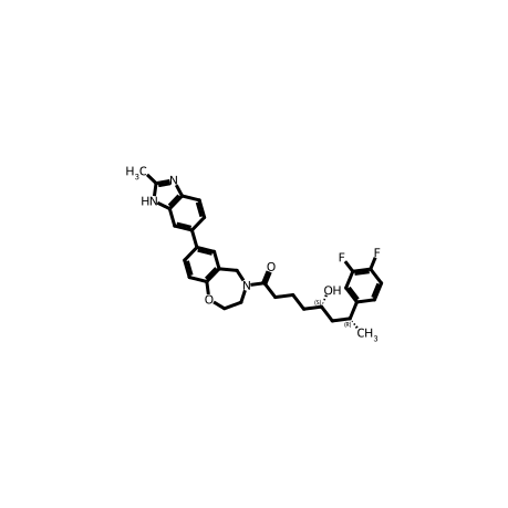 Cc1nc2ccc(-c3ccc4c(c3)CN(C(=O)CCC[C@H](O)C[C@@H](C)c3ccc(F)c(F)c3)CCO4)cc2[nH]1